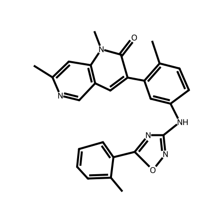 Cc1cc2c(cn1)cc(-c1cc(Nc3noc(-c4ccccc4C)n3)ccc1C)c(=O)n2C